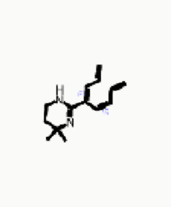 C=C/C=C\C(=C/C=C)C1=NC(C)(C)CCN1